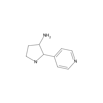 NC1CC[N]C1c1ccncc1